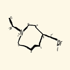 CCN1CCCC(CBr)CC1